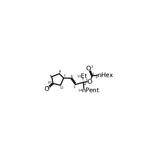 CCCCCCC(=O)O[C@@](C=CC1CCC(=O)C1)(CC)CCCCC